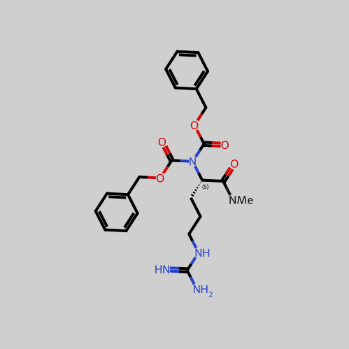 CNC(=O)[C@H](CCCNC(=N)N)N(C(=O)OCc1ccccc1)C(=O)OCc1ccccc1